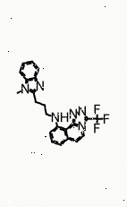 Cn1c(CCCNc2cccc3ccn4c(C(F)(F)F)nnc4c23)nc2ccccc21